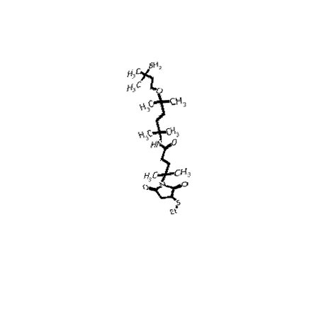 BC(C)(C)CCOC(C)(C)CCC(C)(C)NC(=O)CCC(C)(C)N1C(=O)CC(SCC)C1=O